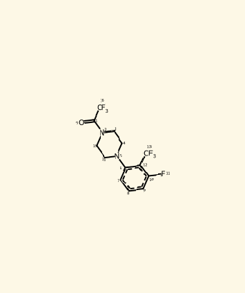 O=C(N1CCN(c2cccc(F)c2C(F)(F)F)CC1)C(F)(F)F